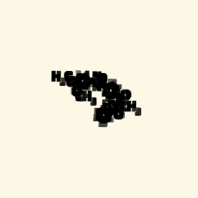 COc1ccc(-c2noc(C3CCN(C(=O)[C@@H](C)NC(=O)c4ccccc4)CC3)n2)cc1OC